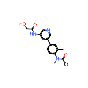 CCC(=O)N(C)c1ccc(-c2cncc(NC(=O)CO)c2)cc1C